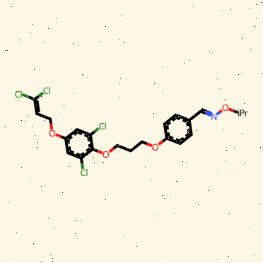 CC(C)ON=Cc1ccc(OCCCOc2c(Cl)cc(OCC=C(Cl)Cl)cc2Cl)cc1